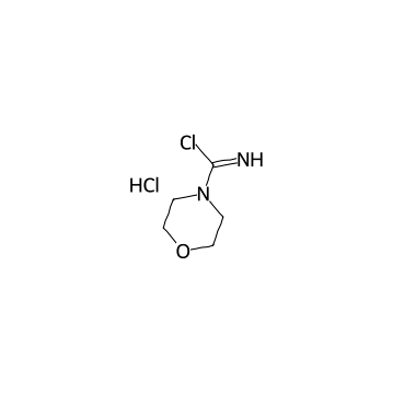 Cl.N=C(Cl)N1CCOCC1